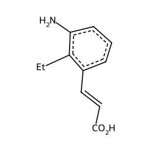 CCc1c(N)cccc1/C=C/C(=O)O